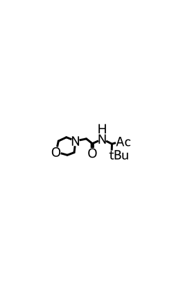 CC(=O)C(NC(=O)CN1CCOCC1)C(C)(C)C